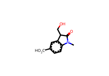 CN1C(=O)C(CO)c2cc(C(=O)O)ccc21